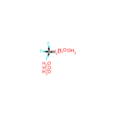 F[B-](F)(F)F.O.O.O.O.O.O